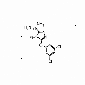 CCn1c(Oc2cc(Cl)cc(Cl)c2)nnc1[C@@H](C)N